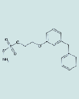 NOS(=O)(=O)OCCOc1cccc(Cc2ccccc2)c1